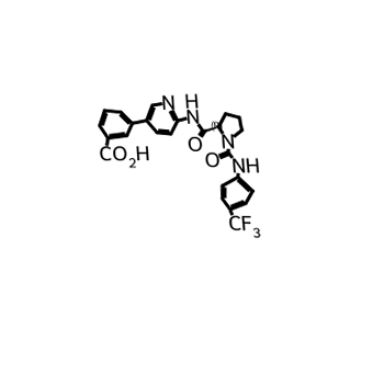 O=C(O)c1cccc(-c2ccc(NC(=O)[C@H]3CCCN3C(=O)Nc3ccc(C(F)(F)F)cc3)nc2)c1